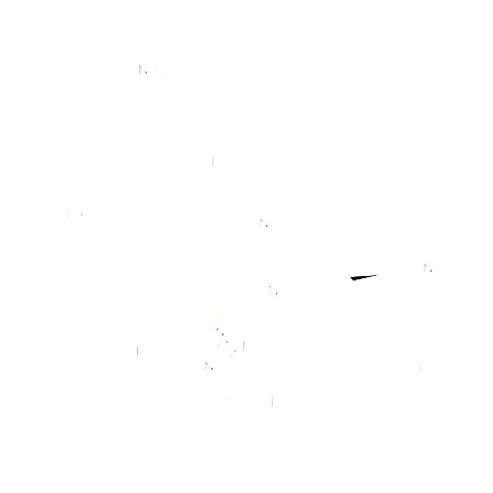 Nc1cc(-c2ccc3c(N4C[C@H]5CC[C@@H](C4)N5C(=O)O)nc(OC[C@@]45CCCN4C[C@H](F)C5)nc3c2F)c(C(F)(F)F)cc1C(F)(F)F